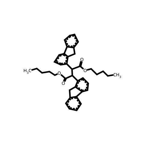 CCCCCOC(=O)C(c1cccc2c1Cc1ccccc1-2)C(C(=O)OCCCCC)c1cccc2c1Cc1ccccc1-2